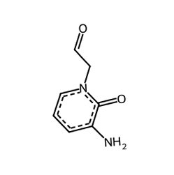 Nc1cccn(CC=O)c1=O